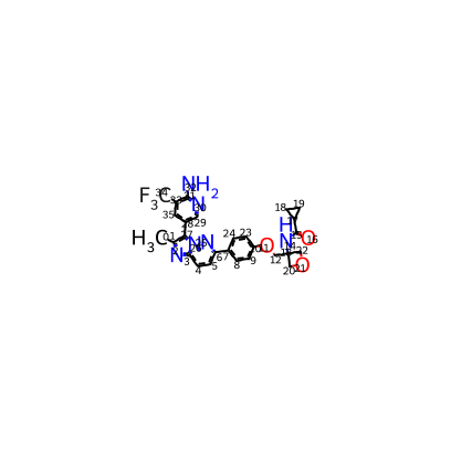 Cc1nc2ccc(-c3ccc(OCC4(NC(=O)C5CC5)COC4)cc3)nn2c1-c1cnc(N)c(C(F)(F)F)c1